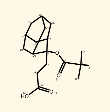 CC(C)(C)C(=O)OC1(CCC(=O)O)C2CC3CC(C2)CC1C3